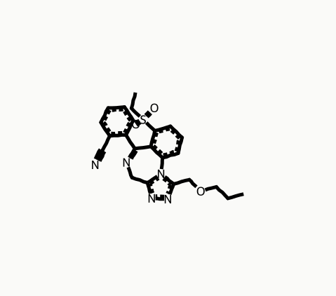 CCCOCc1nnc2n1-c1cccc(S(=O)(=O)CC)c1C(c1ccccc1C#N)=NC2